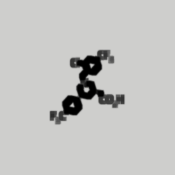 O=C(O)C[C@H]1C[C@H](c2ccc(C(F)(F)F)cc2)CN(Cc2ccc(C(F)(F)F)cc2Cl)C1